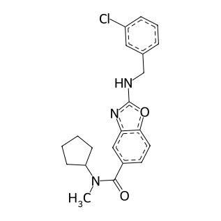 CN(C(=O)c1ccc2oc(NCc3cccc(Cl)c3)nc2c1)C1CCCC1